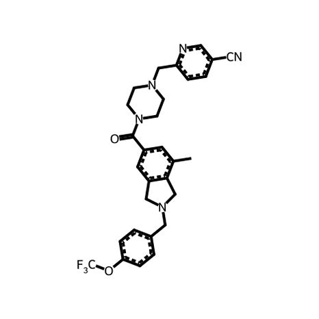 Cc1cc(C(=O)N2CCN(Cc3ccc(C#N)cn3)CC2)cc2c1CN(Cc1ccc(OC(F)(F)F)cc1)C2